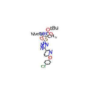 COC(=O)C(C)(NC(=O)OC(C)(C)C)SCn1nnc(-c2ccc(Oc3ccc(Cl)cc3)nc2)n1